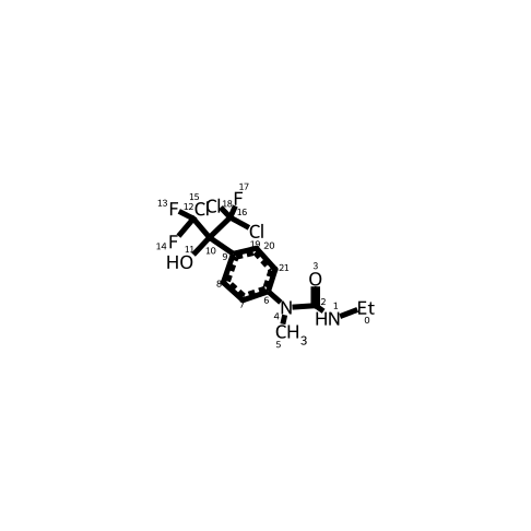 CCNC(=O)N(C)c1ccc(C(O)(C(F)(F)Cl)C(F)(Cl)Cl)cc1